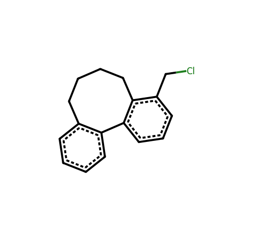 ClCc1cccc2c1CCCCc1ccccc1-2